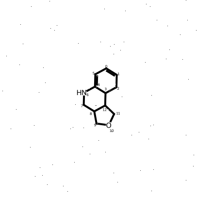 C1=CCC2C(=C1)NCC1COCC12